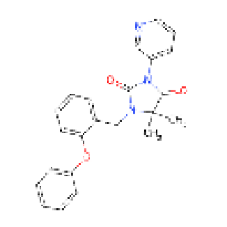 CC1(C)C(=O)N(c2cccnc2)C(=O)N1Cc1ccccc1Oc1ccccc1